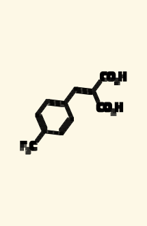 O=C(O)C(=Cc1ccc(C(F)(F)F)cc1)C(=O)O